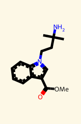 COC(=O)c1cn(CCC(C)(C)N)c2ccccc12